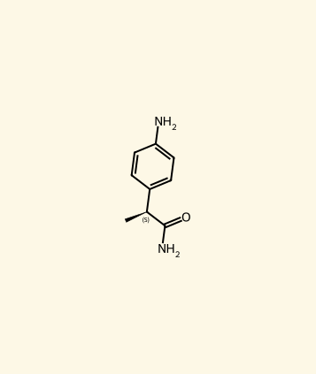 C[C@H](C(N)=O)c1ccc(N)cc1